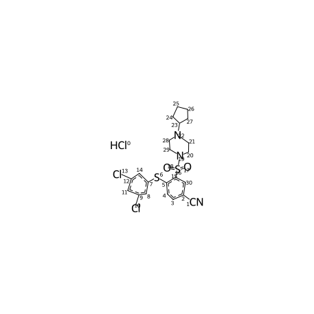 Cl.N#Cc1ccc(Sc2cc(Cl)cc(Cl)c2)c(S(=O)(=O)N2CCN(C3CCCC3)CC2)c1